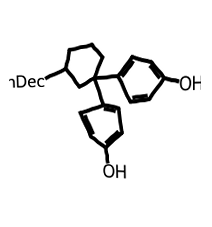 CCCCCCCCCCC1CCCC(c2ccc(O)cc2)(c2ccc(O)cc2)C1